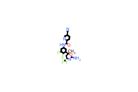 C[C@@]1(c2cc(NC(=O)c3ccc(C#N)cn3)cc(F)c2F)C[C@@H](C(F)(F)F)N=C(N)O1